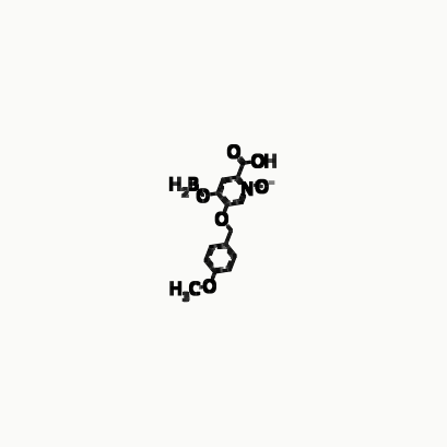 BOc1cc(C(=O)O)[n+]([O-])cc1OCc1ccc(OC)cc1